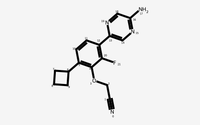 N#CCOc1c(C2CCC2)ccc(-c2cnc(N)cn2)c1F